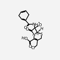 COC1(NC(=O)C2=CCC=CC2)C(=O)N2C(C(=O)O)=C(CCl)CS[C@H]21